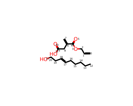 C=CCOC(=O)C(=C)CC(=O)O.CCCCCC=CCCO